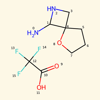 NC1NCC12CCCO2.O=C(O)C(F)(F)F